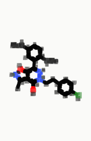 COc1ccc(OC)c(-c2nn(CCc3ccc(Cl)cc3)c(=O)c3c(C)noc23)c1